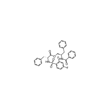 O=C(N[C@@H](COC(=O)[C@@H](Cc1ccccc1)NS(=O)(=O)c1ccc(F)cc1F)Cc1ccccc1)c1ccccc1